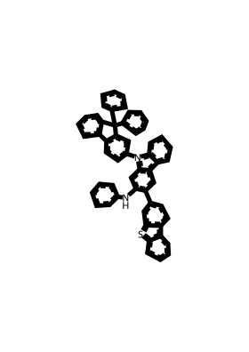 c1ccc(Nc2cc3c(cc2-c2ccc4c(c2)sc2ccccc24)c2ccccc2n3-c2ccc3c(c2)C(c2ccccc2)(c2ccccc2)c2ccccc2-3)cc1